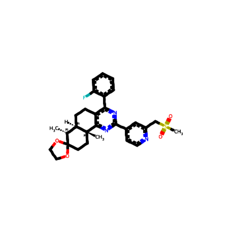 C[C@@H]1[C@H]2CCc3c(-c4ccccc4F)nc(-c4ccnc(CS(C)(=O)=O)c4)nc3[C@]2(C)CCC12OCCO2